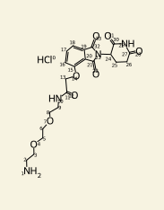 Cl.NCCOCCOCCNC(=O)COc1cccc2c1C(=O)N(C1CCC(=O)NC1=O)C2=O